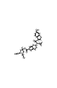 CC(CN=[N+]=[N-])(CN=[N+]=[N-])OC(=O)n1cc2c(n1)CCC(N(C(=O)c1csc3cc(O)ccc13)C1CC1)C2